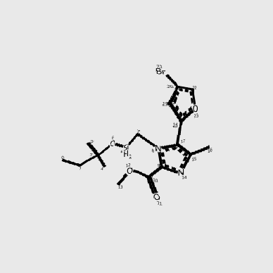 CCC(C)(C)O[SiH2]Cn1c(C(=O)OC)nc(C)c1-c1cc(Br)co1